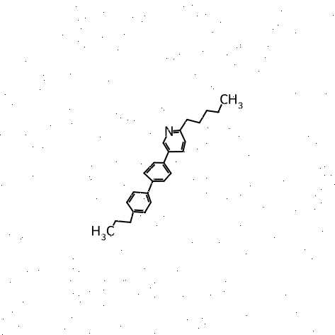 CCCCCc1ccc(-c2ccc(-c3ccc(CCC)cc3)cc2)cn1